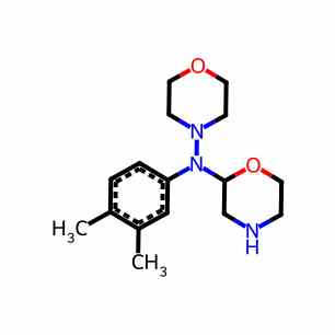 Cc1ccc(N(C2CNCCO2)N2CCOCC2)cc1C